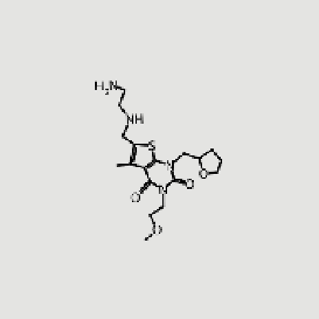 COCCn1c(=O)c2c(C)c(CNCCN)sc2n(CC2CCCO2)c1=O